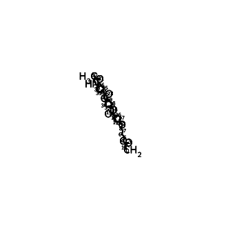 C=CC(=O)OCCCCOc1ccc(C(=O)Oc2ccc(OC(=O)c3ccc(NC(C)=O)cc3)cc2)cc1